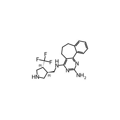 Nc1nc(NC[C@H]2CNC[C@@H]2C(F)(F)F)c2c(n1)-c1ccccc1CCC2